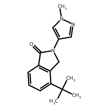 Cn1cc(N2Cc3c(cccc3C(C)(C)C)C2=O)cn1